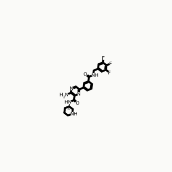 Nc1ncc(-c2cccc(C(=O)NCc3cc(F)c(F)c(F)c3)c2)nc1C(=O)N[C@H]1CCCNC1